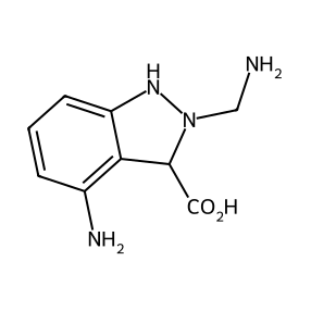 NCN1Nc2cccc(N)c2C1C(=O)O